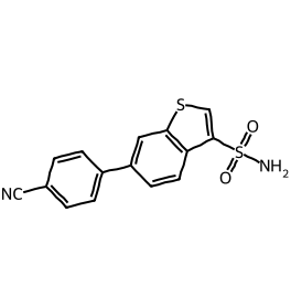 N#Cc1ccc(-c2ccc3c(S(N)(=O)=O)csc3c2)cc1